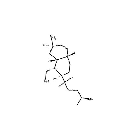 CC(C)[C@@H](C)CCC(C)(C)[C@]1(C)CC[C@@]2(C)CC[C@](C)(N)C[C@H]2[C@H]1CO